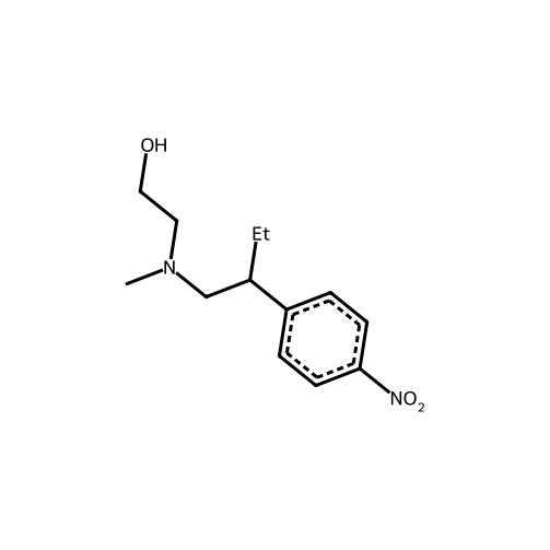 CCC(CN(C)CCO)c1ccc([N+](=O)[O-])cc1